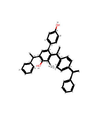 CC(c1ccccc1)c1ccc(C(C)c2c(-c3ccc(O)cc3)cc(C(C)c3ccccc3)c(O)c2S(=O)(=O)O)cc1